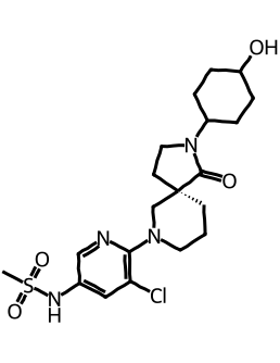 CS(=O)(=O)Nc1cnc(N2CCC[C@@]3(CCN(C4CCC(O)CC4)C3=O)C2)c(Cl)c1